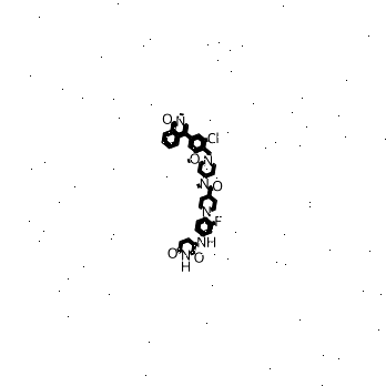 COc1cc(-c2cn(C)c(=O)c3ccccc23)cc(Cl)c1CN1CCC(N(C)C(=O)C2CCN(c3ccc(NC4CCC(=O)NC4=O)cc3F)CC2)CC1